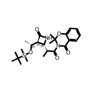 CC(C(=O)N1C(=O)c2ccccc2OC1(C)C)[C@H]1NC(=O)[C@@H]1[C@@H](C)O[Si](C)(C)C(C)(C)C